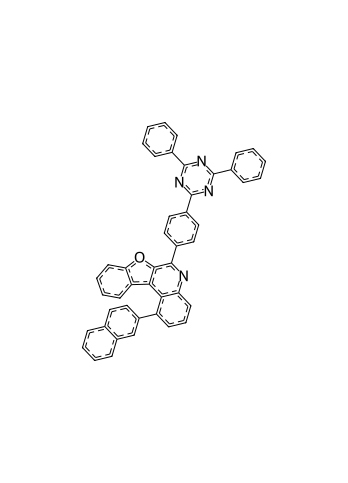 c1ccc(-c2nc(-c3ccccc3)nc(-c3ccc(-c4nc5cccc(-c6ccc7ccccc7c6)c5c5c4oc4ccccc45)cc3)n2)cc1